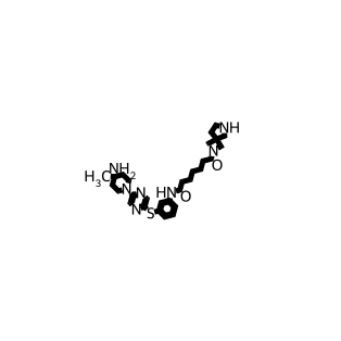 CC1(N)CCN(c2cnc(Sc3cccc(NC(=O)CCCCCC(=O)N4CC5(CCNC5)C4)c3)cn2)CC1